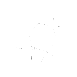 CO[Si]1(C)CCC(C)(C)O[Si]1(C)C